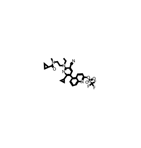 CCN(CCN(C)C(=O)C1CC1)c1nc(C2CC2)c(-c2cccc3nc(OS(=O)(=O)C(F)(F)F)ccc23)cc1C#N